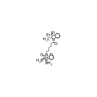 B[C@@H](C(=O)NCCCCCC(=O)N1c2ccccc2S(CC)(CC)C1C)[C@@H](B)c1cccnc1